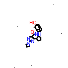 O=C(NC1C2CC3CC1CC(O)(C3)C2)c1cnc(N2CCC2)nc1C1CCCC1